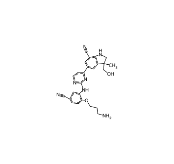 C[C@]1(CO)CNc2c(C#N)cc(-c3ccnc(Nc4cc(C#N)ccc4OCCCN)n3)cc21